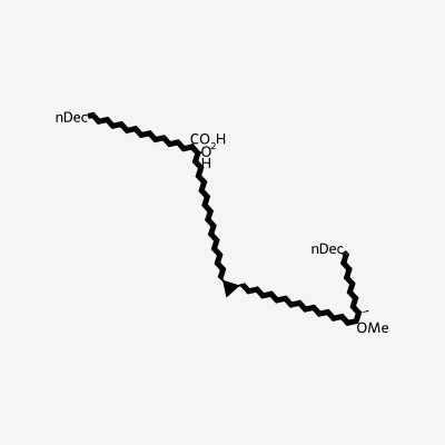 CCCCCCCCCCCCCCCCCCCCCCCC[C@@H](C(=O)O)[C@H](O)CCCCCCCCCCCCCCCCC[C@@H]1C[C@@H]1CCCCCCCCCCCCCCCC[C@H](OC)[C@@H](C)CCCCCCCCCCCCCCCCCC